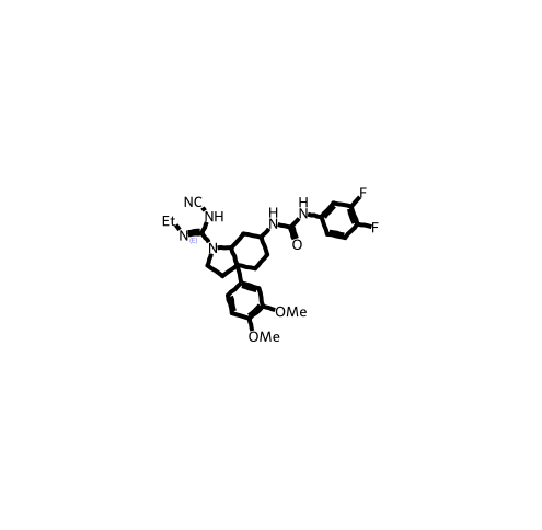 CC/N=C(\NC#N)N1CCC2(c3ccc(OC)c(OC)c3)CCC(NC(=O)Nc3ccc(F)c(F)c3)CC12